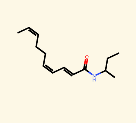 C/C=C\CC/C=C\C=C\C(=O)NC(C)CC